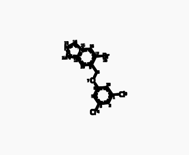 Clc1cc(Cl)cc(OCc2cc3nncn3cc2Br)c1